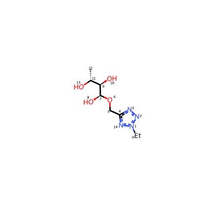 CCn1nnc(CO[C@@H](O)[C@H](O)[C@@H](C)O)n1